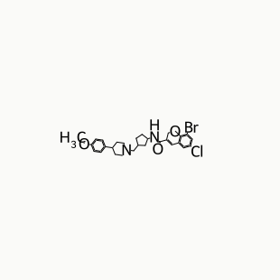 COc1ccc(C2CCN(CC3CCC(NC(=O)C4=Cc5cc(Cl)cc(Br)c5OC4)C3)CC2)cc1